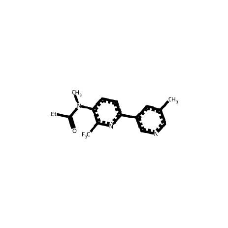 CCC(=O)N(C)c1ccc(-c2cncc(C)c2)nc1C(F)(F)F